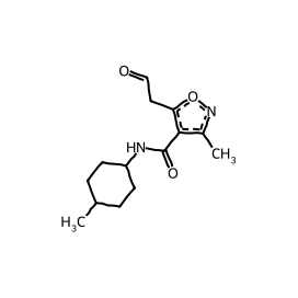 Cc1noc(CC=O)c1C(=O)NC1CCC(C)CC1